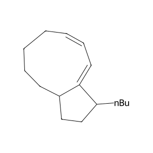 CCCCC1CCC2CCCCC=CC=C12